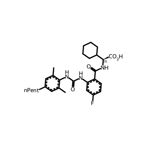 CCCCCc1cc(C)c(NC(=O)Nc2cc(F)ccc2C(=O)N[C@H](C(=O)O)C2CCCCC2)c(C)c1